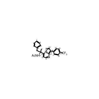 CC(=O)N[C@](C)(Cc1ccccc1)c1ccnc2c(-c3ccc(C(F)(F)F)cc3)cnn12